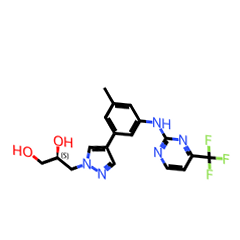 Cc1cc(Nc2nccc(C(F)(F)F)n2)cc(-c2cnn(C[C@H](O)CO)c2)c1